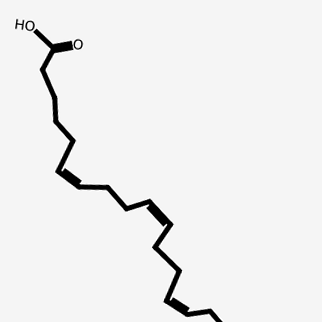 CCC/C=C\CC/C=C\CC/C=C\CCCCC(=O)O